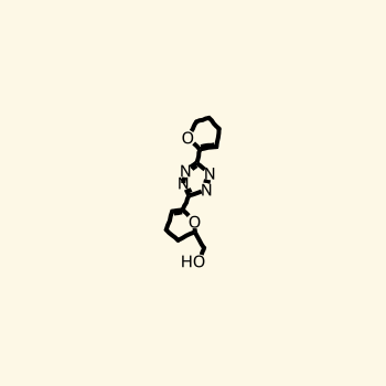 OCC1CCC=C(c2nnc(C3=CCCCO3)nn2)O1